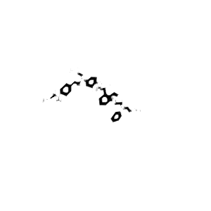 CC(C)C(=O)N(O)c1ccc(CC(=O)N(CCO)c2ccc(ONC(=O)c3cccc4c3ccn4CC(=O)N(CCO)c3ccccc3)cc2)cc1